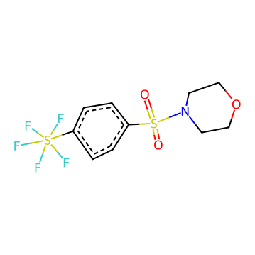 O=S(=O)(c1ccc(S(F)(F)(F)(F)F)cc1)N1CCOCC1